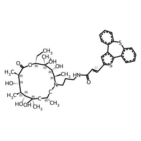 CC[C@H]1OC(=O)[C@H](C)[C@@H](O)[C@H](C)[C@@H](O)[C@](C)(O)C[C@@H](C)CN(CCCNC(=O)/C=C/c2cc3c(s2)-c2ccccc2Sc2ccccc2-3)[C@H](C)[C@@H](O)[C@]1(C)O